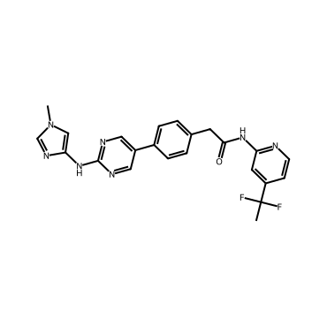 Cn1cnc(Nc2ncc(-c3ccc(CC(=O)Nc4cc(C(C)(F)F)ccn4)cc3)cn2)c1